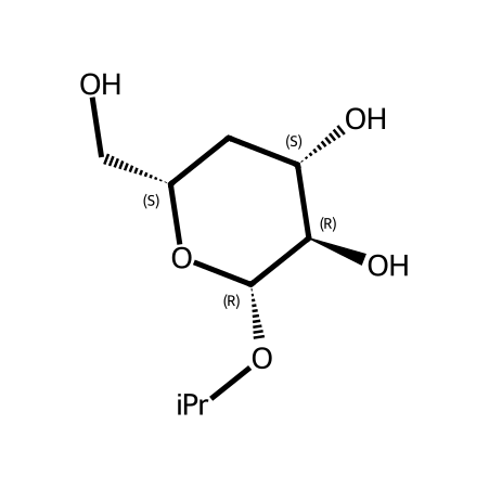 CC(C)O[C@@H]1O[C@H](CO)C[C@H](O)[C@H]1O